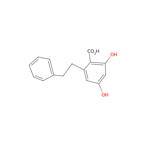 O=C(O)c1c(O)cc(O)cc1CCc1ccccc1